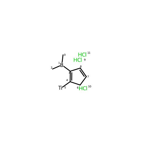 CB(C)C1=[C]([Ti])CC=C1.Cl.Cl.Cl